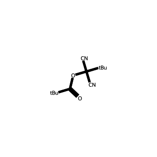 CC(C)(C)C(=O)OC(C#N)(C#N)C(C)(C)C